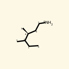 CCC(C)[C@@H](C)CCN